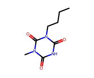 CCCCn1c(=O)[nH]c(=O)n(C)c1=O